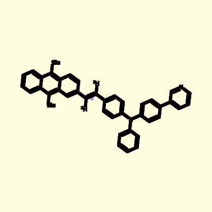 [2H]/C(=C(/[2H])c1ccc2c(C(C)(C)C)c3ccccc3c(C(C)(C)C)c2c1)c1ccc(N(c2ccccc2)c2ccc(-c3cccnc3)cc2)cc1